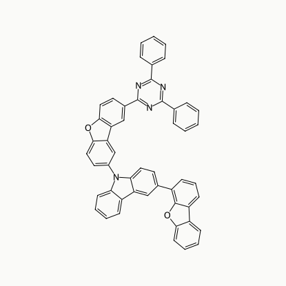 c1ccc(-c2nc(-c3ccccc3)nc(-c3ccc4oc5ccc(-n6c7ccccc7c7cc(-c8cccc9c8oc8ccccc89)ccc76)cc5c4c3)n2)cc1